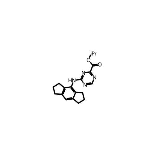 CC(C)OC(=O)c1ncnc(Nc2c3c(cc4c2CCC4)CCC3)n1